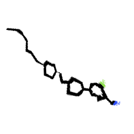 CCCCCCC[C@H]1CC[C@H](/C=C/C2CCC(c3ccc(C#N)c(F)c3)CC2)CC1